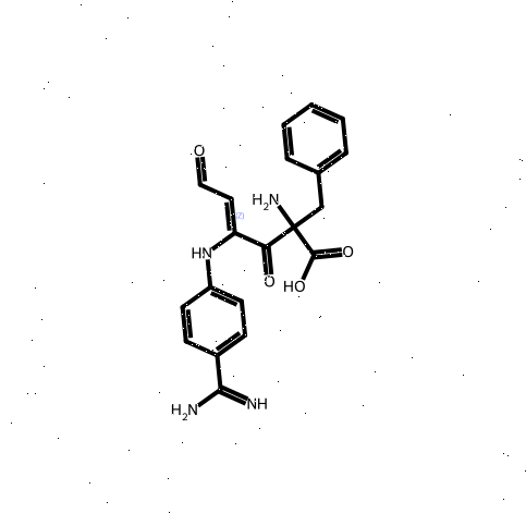 N=C(N)c1ccc(N/C(=C\C=O)C(=O)C(N)(Cc2ccccc2)C(=O)O)cc1